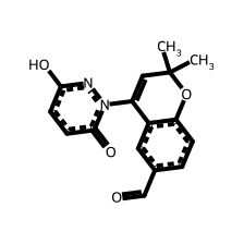 CC1(C)C=C(n2nc(O)ccc2=O)c2cc(C=O)ccc2O1